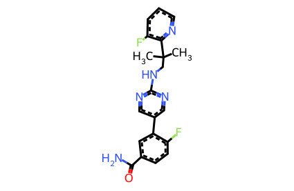 CC(C)(CNc1ncc(-c2cc(C(N)=O)ccc2F)cn1)c1ncccc1F